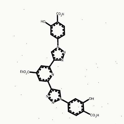 CCOC(=O)c1cc(-c2cn(-c3ccc(C(=O)O)c(O)c3)nn2)nc(-c2cn(-c3ccc(C(=O)O)c(O)c3)nn2)c1